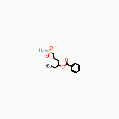 CC(C)(C)CC(CCCS(N)(=O)=O)OC(=O)c1ccccc1